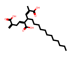 C=C(CC=C(C(=O)O)C(C=C(C)C(=O)O)CCCCCCCCCCCC)C(=O)O